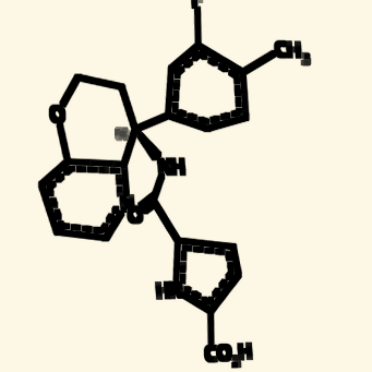 Cc1ccc([C@@]2(NC(=O)c3ccc(C(=O)O)[nH]3)CCOc3cccnc32)cc1F